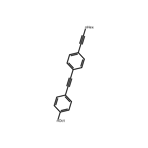 CCCCCCC#Cc1ccc(C#Cc2ccc(CCCCCCCC)cc2)cc1